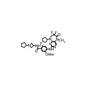 COc1cc(C(=O)NC2CN(C3CCCC3)C2)c(F)cc1Nc1ncc2c(n1)N(C1CCCC1)CC(F)(F)C(=O)N2C